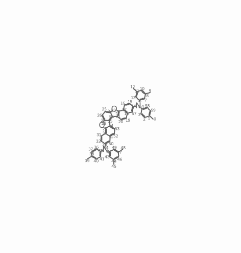 Cc1ccc(N(c2cc(C)cc(C)c2)c2ccc3c(ccc4c3oc3ccc5oc6c7ccc(N(c8ccc(C)cc8)c8cc(C)cc(C)c8)cc7ccc6c5c34)c2)cc1